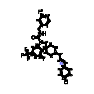 O=C(NCc1ccnc(F)c1)N1CC2(CCN(C/C=C/c3ccc(Cl)cc3)CC2)c2c(F)cc(C(F)(F)F)cc21